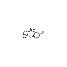 CC(=O)c1ccoc1Cc1ccc(F)cc1